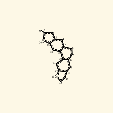 Cc1cc2cc3ccc4cc5ccsc5cc4c3cc2s1